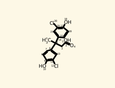 CC(CC(=O)O)(c1ccc(O)c(Cl)c1)c1ccc(O)c(Cl)c1